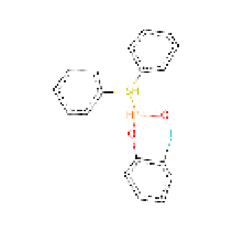 O=[PH](Oc1ccccc1F)[SH](c1ccccc1)c1ccccc1